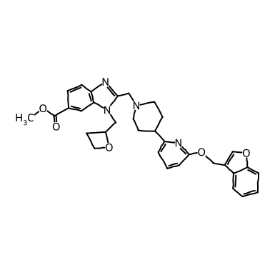 COC(=O)c1ccc2nc(CN3CCC(c4cccc(OCc5coc6ccccc56)n4)CC3)n(CC3CCO3)c2c1